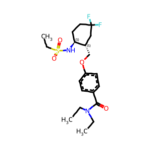 CCN(CC)C(=O)c1ccc(OC[C@H]2CC(F)(F)CC[C@@H]2NS(=O)(=O)CC)cc1